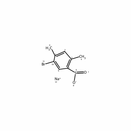 Cc1cc(C)c(S(=O)[O-])cc1Br.[Na+]